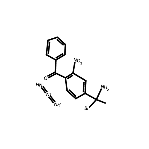 CC(N)(Br)c1ccc(C(=O)c2ccccc2)c([N+](=O)[O-])c1.N=[N+]=N